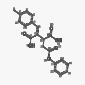 Cc1ccc(C=C(C(=O)O)C(CC(=O)Oc2ccccc2)C(=O)O)cc1